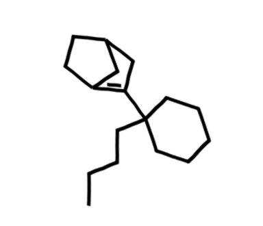 CCCCC1(C2=C3CCC(C3)C2)CCCCC1